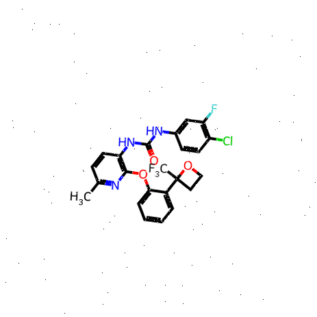 Cc1ccc(NC(=O)Nc2ccc(Cl)c(F)c2)c(Oc2ccccc2C2(C(F)(F)F)CCO2)n1